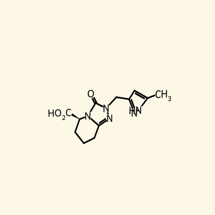 Cc1cc(Cn2nc3n(c2=O)[C@H](C(=O)O)CCC3)n[nH]1